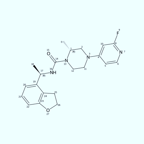 C[C@@H]1CN(c2ccnc(F)c2)CCN1C(=O)N[C@H](C)c1cccc2c1CCO2